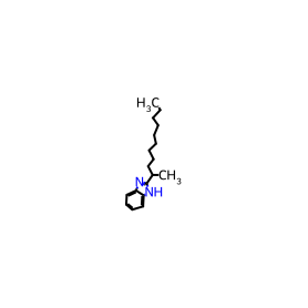 CCCCCCCCCC(C)c1nc2ccccc2[nH]1